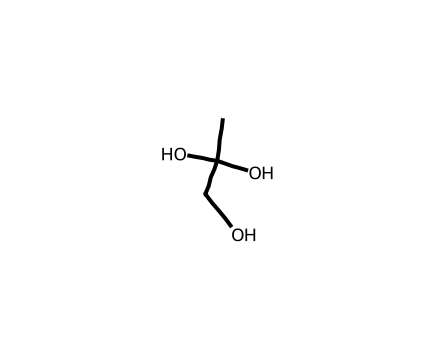 CC(O)(O)CO